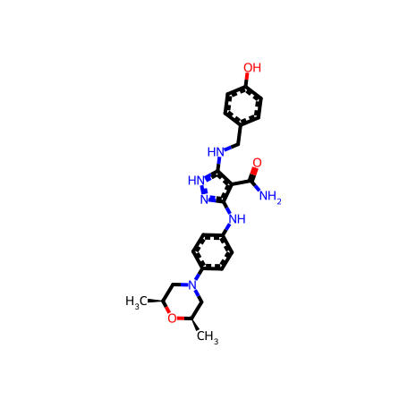 C[C@@H]1CN(c2ccc(Nc3n[nH]c(NCc4ccc(O)cc4)c3C(N)=O)cc2)C[C@H](C)O1